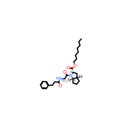 CCCCCCCCOC(=O)[C@@H]1C[C@@H]2CCC[C@@H]2N1C(=O)[C@H](C)NC(=O)CCc1ccccc1